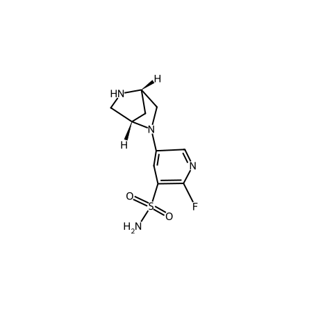 NS(=O)(=O)c1cc(N2C[C@@H]3C[C@H]2CN3)cnc1F